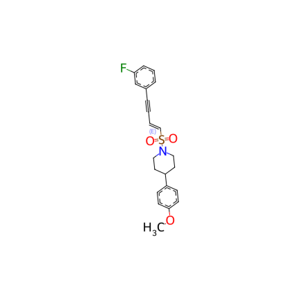 COc1ccc(C2CCN(S(=O)(=O)/C=C/C#Cc3cccc(F)c3)CC2)cc1